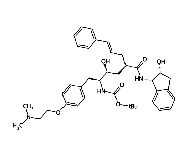 CN(C)CCOc1ccc(C[C@H](NC(=O)OC(C)(C)C)[C@@H](O)C[C@@H](CC=Cc2ccccc2)C(=O)N[C@H]2c3ccccc3C[C@H]2O)cc1